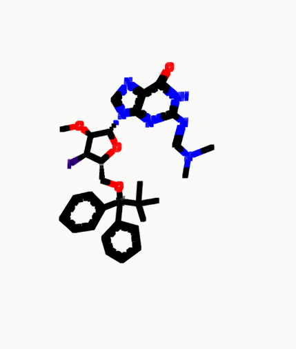 CO[C@@H]1[C@H](I)[C@@H](CO[Si](c2ccccc2)(c2ccccc2)C(C)(C)C)O[C@H]1n1cnc2c(=O)[nH]c(N=CN(C)C)nc21